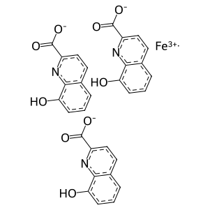 O=C([O-])c1ccc2cccc(O)c2n1.O=C([O-])c1ccc2cccc(O)c2n1.O=C([O-])c1ccc2cccc(O)c2n1.[Fe+3]